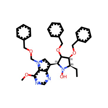 CC[C@@H]1[C@H](OCc2ccccc2)C(OCc2ccccc2)[C@H](c2cn(COCc3ccccc3)c3c(OC)ncnc23)N1O